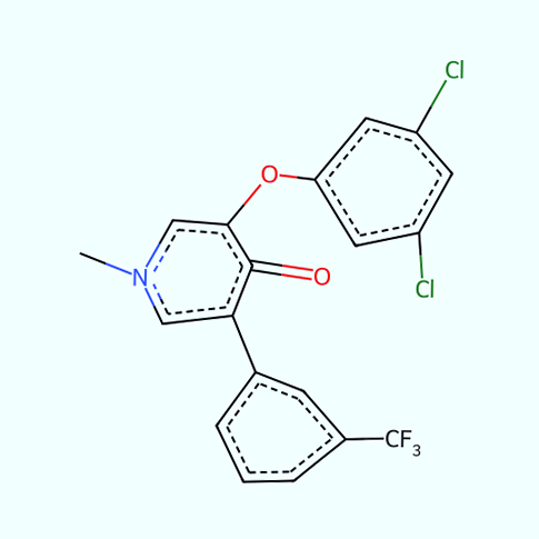 Cn1cc(Oc2cc(Cl)cc(Cl)c2)c(=O)c(-c2cccc(C(F)(F)F)c2)c1